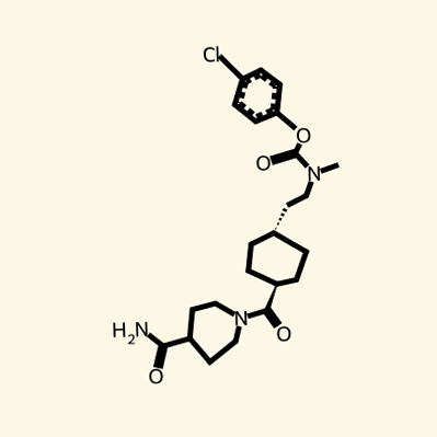 CN(CC[C@H]1CC[C@H](C(=O)N2CCC(C(N)=O)CC2)CC1)C(=O)Oc1ccc(Cl)cc1